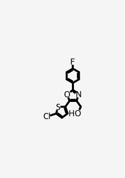 OCc1nc(-c2ccc(F)cc2)oc1-c1ccc(Cl)s1